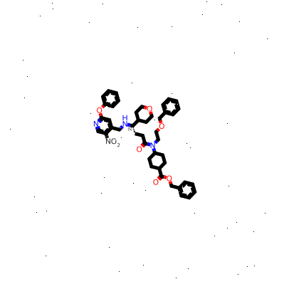 O=C(OCc1ccccc1)C1CCC(N(CCOCc2ccccc2)C(=O)CC[C@H](NCc2cc(Oc3ccccc3)ncc2[N+](=O)[O-])C2CCOCC2)CC1